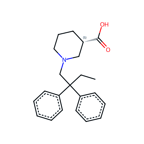 CCC(CN1CCC[C@H](C(=O)O)C1)(c1ccccc1)c1ccccc1